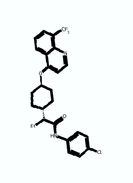 CCC(C(=O)Nc1ccc(Cl)cc1)[C@H]1CC[C@H](Oc2ccnc3c(C(F)(F)F)cccc23)CC1